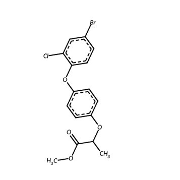 COC(=O)C(C)Oc1ccc(Oc2ccc(Br)cc2Cl)cc1